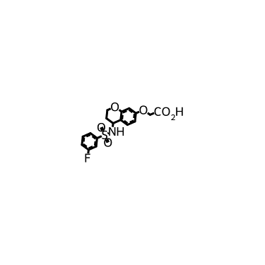 O=C(O)COc1ccc2c(c1)OCCC2NS(=O)(=O)c1cccc(F)c1